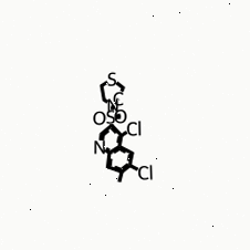 Cc1cc2ncc(S(=O)(=O)N3CCSCC3)c(Cl)c2cc1Cl